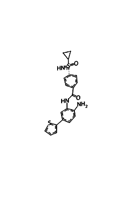 N=[S@@](=O)(c1ccc(C(=O)Nc2cc(-c3cccs3)ccc2N)cc1)C1CC1